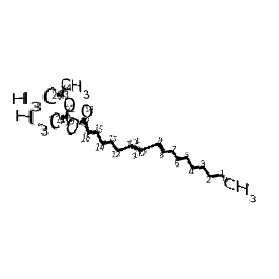 CCCCCCCC/C=C/CCCCCCCC(=O)OC(C)OC(C)C